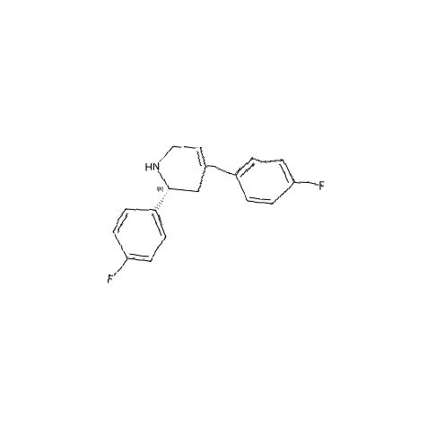 Fc1ccc(C2=CCN[C@@H](c3ccc(F)cc3)C2)cc1